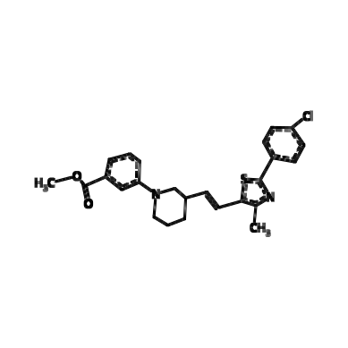 COC(=O)c1cccc(N2CCCC(/C=C/c3sc(-c4ccc(Cl)cc4)nc3C)C2)c1